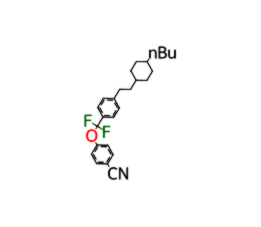 CCCCC1CCC(CCc2ccc(C(F)(F)Oc3ccc(C#N)cc3)cc2)CC1